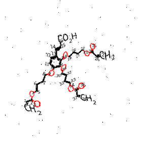 C=CC(=O)OCCCCOc1ccc(/C=C/C(=O)O)c(OCCCCOC(=O)C=C)c1OCCCCOC(=O)C=C